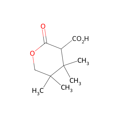 CC1(C)COC(=O)C(C(=O)O)C1(C)C